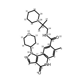 Cc1cc2[nH]c(=O)c3cnn(C4CCOCC4)c3c2cc1C(=O)NCC(C)(C)N1CCCCC1